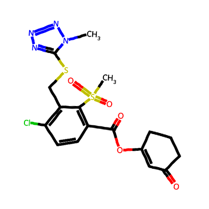 Cn1nnnc1SCc1c(Cl)ccc(C(=O)OC2=CC(=O)CCC2)c1S(C)(=O)=O